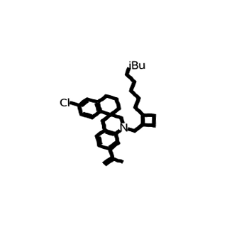 C=C(C)c1ccc2c(c1)N(CC1CCC1CCCCCC(C)CC)CC1(CCCc3cc(Cl)ccc31)C2